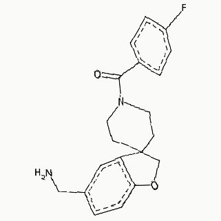 NCc1ccc2c(c1)C1(CCN(C(=O)c3ccc(F)cc3)CC1)CO2